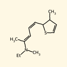 CCN(C)/C(C)=C/C=C\C1SC=CC1C